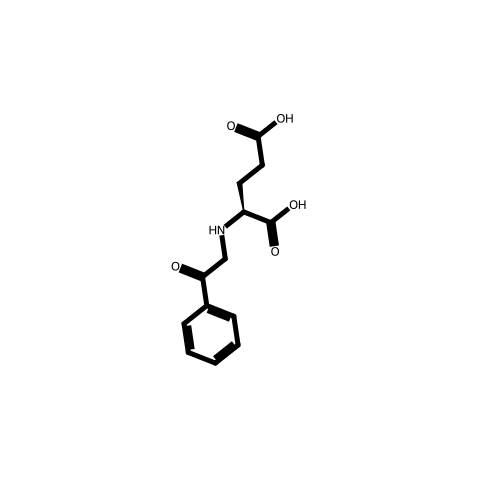 O=C(O)CC[C@H](NCC(=O)c1ccccc1)C(=O)O